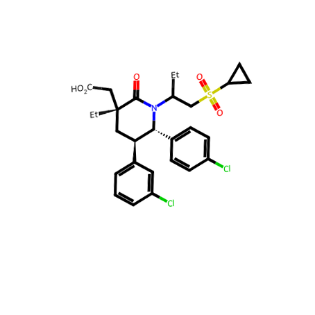 CCC(CS(=O)(=O)C1CC1)N1C(=O)[C@@](CC)(CC(=O)O)C[C@H](c2cccc(Cl)c2)[C@H]1c1ccc(Cl)cc1